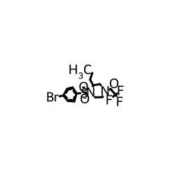 CCCC1CN(C(=O)C(F)(F)F)CCN1S(=O)(=O)c1ccc(Br)cc1